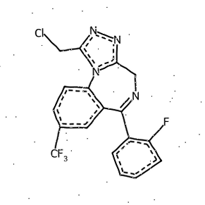 Fc1ccccc1C1=NCc2nnc(CCl)n2-c2ccc(C(F)(F)F)cc21